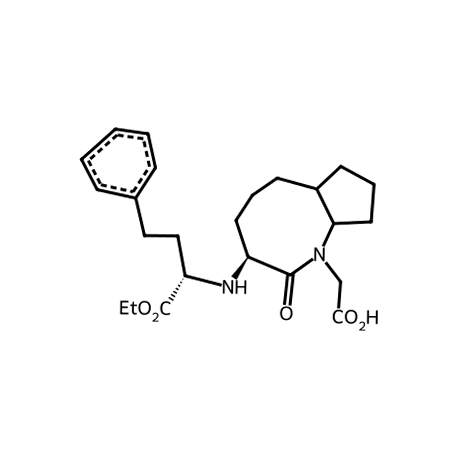 CCOC(=O)[C@H](CCc1ccccc1)N[C@H]1CCCC2CCCC2N(CC(=O)O)C1=O